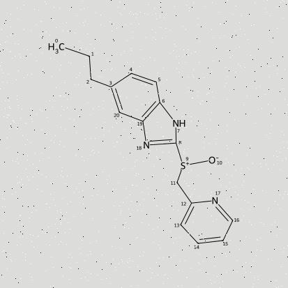 CCCc1ccc2[nH]c([S+]([O-])Cc3ccccn3)nc2c1